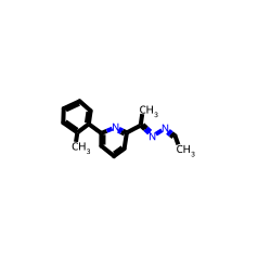 C/C=N\N=C(/C)c1cccc(-c2ccccc2C)n1